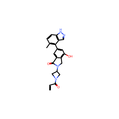 C=CC(=O)N1CC(N2Cc3c(O)cc(-c4c(C)ccc5[nH]ncc45)cc3C2=O)C1